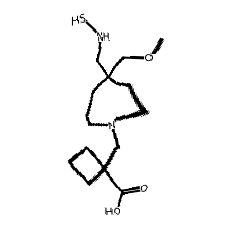 COCC1(CNS)CCN(CC2(C(=O)O)CCC2)CC1